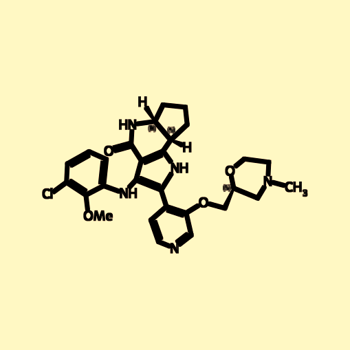 COc1c(Cl)cccc1Nc1c(-c2ccncc2OC[C@@H]2CN(C)CCO2)[nH]c2c1C(=O)N[C@@H]1CCC[C@H]21